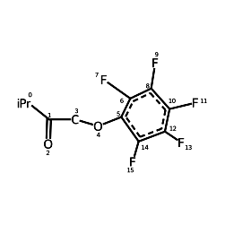 CC(C)C(=O)COc1c(F)c(F)c(F)c(F)c1F